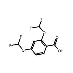 O=C(O)c1ccc(OC(F)F)cc1OC(F)F